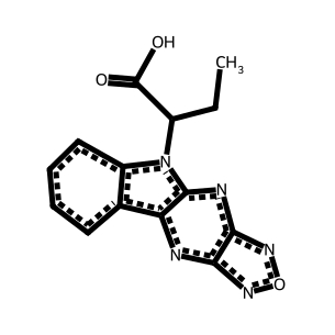 CCC(C(=O)O)n1c2ccccc2c2nc3nonc3nc21